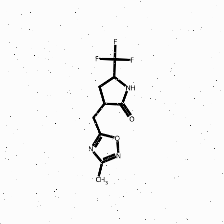 Cc1noc(CC2CC(C(F)(F)F)NC2=O)n1